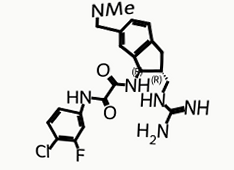 CNCc1ccc2c(c1)[C@H](NC(=O)C(=O)Nc1ccc(Cl)c(F)c1)[C@@H](CNC(=N)N)C2